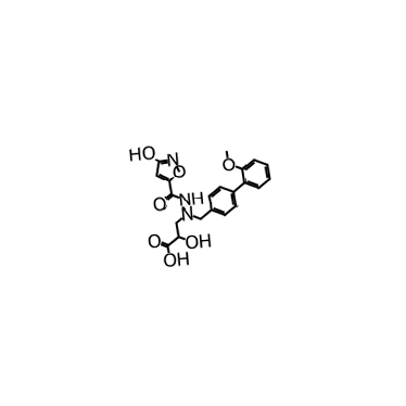 COc1ccccc1-c1ccc(CN(CC(O)C(=O)O)NC(=O)c2cc(O)no2)cc1